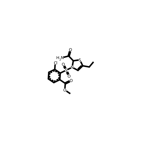 CCC1=CN(S(=O)(=O)c2c(Cl)cccc2C(=O)OC)C(C(N)=O)S1